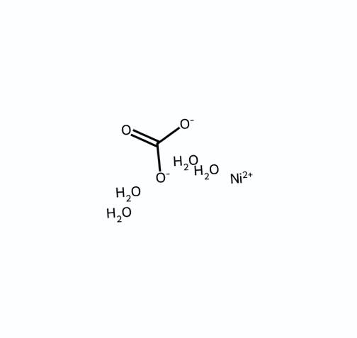 O.O.O.O.O=C([O-])[O-].[Ni+2]